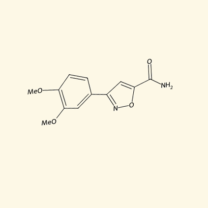 COc1ccc(-c2cc(C(N)=O)on2)cc1OC